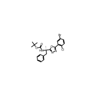 CC(C)(C)OC(=O)N[C@](C)(Cc1ccccc1)c1nnc(-c2cc(Br)ccc2Cl)o1